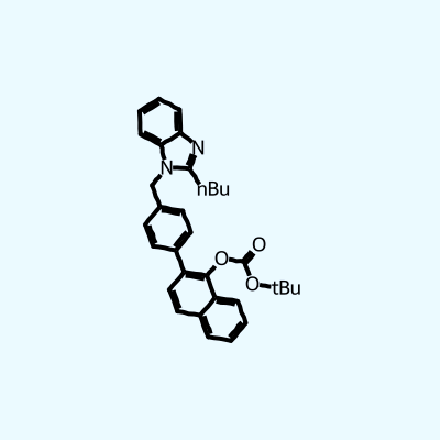 CCCCc1nc2ccccc2n1Cc1ccc(-c2ccc3ccccc3c2OC(=O)OC(C)(C)C)cc1